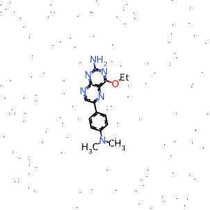 CCOc1nc(N)nc2ncc(-c3ccc(N(C)C)cc3)nc12